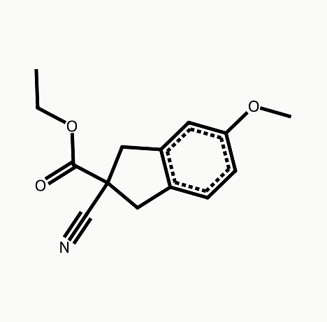 CCOC(=O)C1(C#N)Cc2ccc(OC)cc2C1